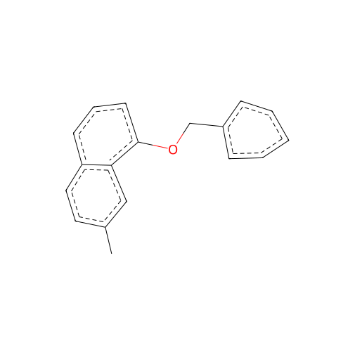 Cc1ccc2cccc(OCc3ccccc3)c2c1